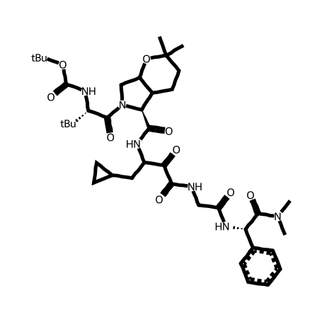 CN(C)C(=O)[C@@H](NC(=O)CNC(=O)C(=O)C(CC1CC1)NC(=O)[C@@H]1C2CCC(C)(C)OC2CN1C(=O)[C@@H](NC(=O)OC(C)(C)C)C(C)(C)C)c1ccccc1